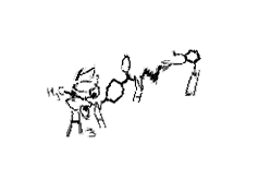 CC(C)(C)S(=O)(=O)NC1CCC(C(=O)NCCSCc2c(Cl)cccc2I)CC1